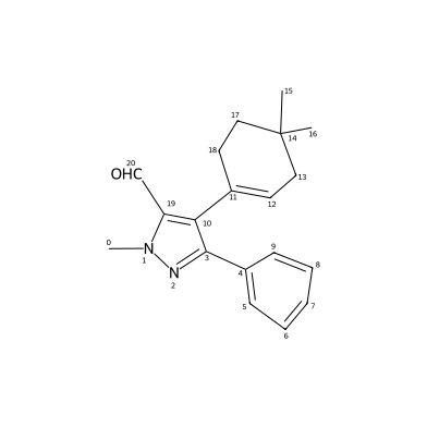 Cn1nc(-c2ccccc2)c(C2=CCC(C)(C)CC2)c1C=O